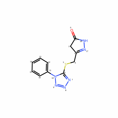 O=C1CC(CSc2nnnn2-c2ccccc2)=NN1